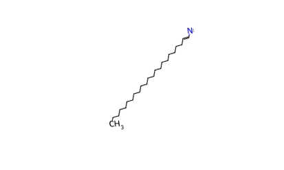 CCCCCCCCCCCCCCCCCCCCC/C=C/[N]